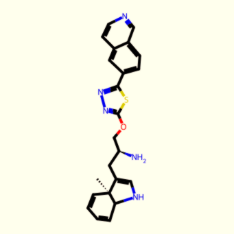 C[C@@]12C=CC=CC1NC=C2C[C@H](N)COc1nnc(-c2ccc3cnccc3c2)s1